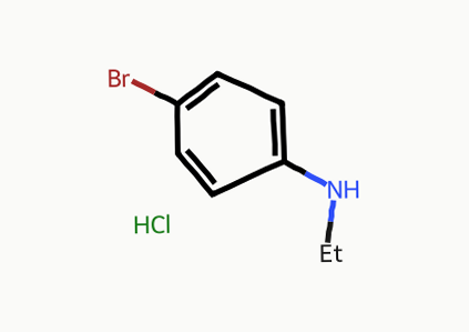 CCNc1ccc(Br)cc1.Cl